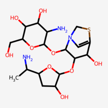 CC(N)C1CC(O)C(OC2C(O)C3=CN(CS3)C2OC2OC(CO)C(O)C(O)C2N)O1